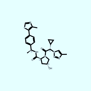 Cc1cn([C@H](C(=O)N2C[C@H](O)C[C@H]2C(=O)N[C@@H](C)c2ccc(-c3scnc3C)cc2)C2CC2)nn1